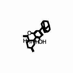 C=C1CC[C@@H]2C(=C)Oc3cc(C45CC6CC(CC(C6)C4)C5)cc(O)c3[C@H]2C1